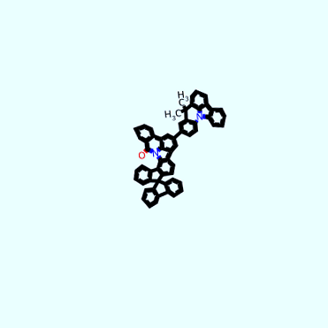 CC1(C)c2cc(-c3cc4c5ccccc5c(=O)n5c6c7c(ccc6c(c3)c45)C3(c4ccccc4-c4ccccc43)c3ccccc3-7)ccc2-n2c3ccccc3c3cccc1c32